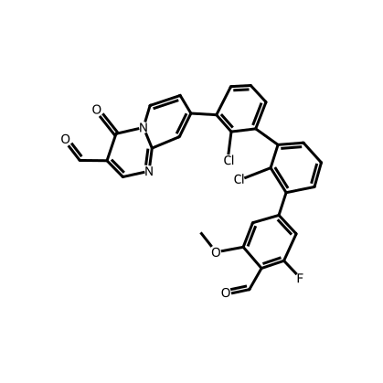 COc1cc(-c2cccc(-c3cccc(-c4ccn5c(=O)c(C=O)cnc5c4)c3Cl)c2Cl)cc(F)c1C=O